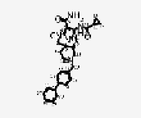 N#CCC1(n2cc(C(N)=O)c(NC(=O)C3CC3)n2)CCN(Cc2ccc(-c3ccccc3)cc2)CC1F